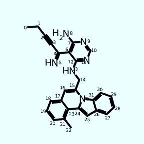 CCC#CC(=N)c1c(N)ncnc1NCc1cc2cccc(C)c2c2cc3ccccc3n12